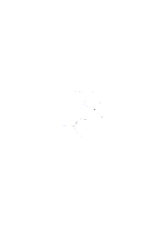 CC(C)(C)[S+]([O-])NC1(C/C=C(/N)C#N)COC1